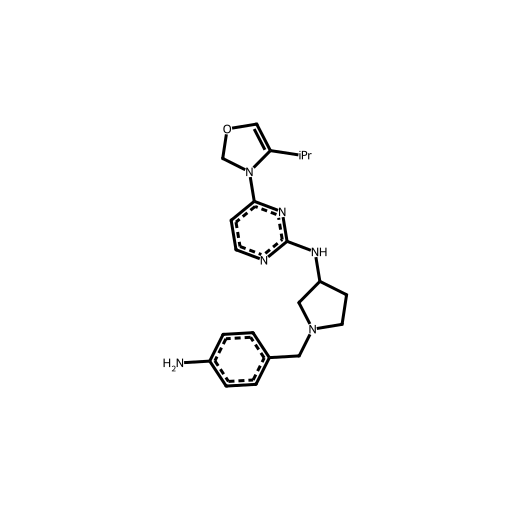 CC(C)C1=COCN1c1ccnc(NC2CCN(Cc3ccc(N)cc3)C2)n1